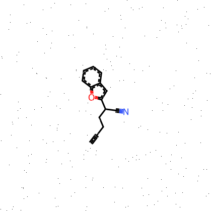 C#CCCC(C#N)c1cc2ccccc2o1